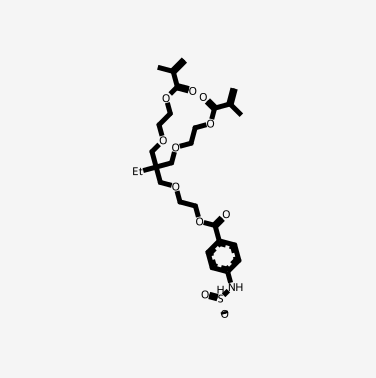 C=C(C)C(=O)OCCOCC(CC)(COCCOC(=O)C(=C)C)COCCOC(=O)c1ccc(N[SH](=O)=O)cc1